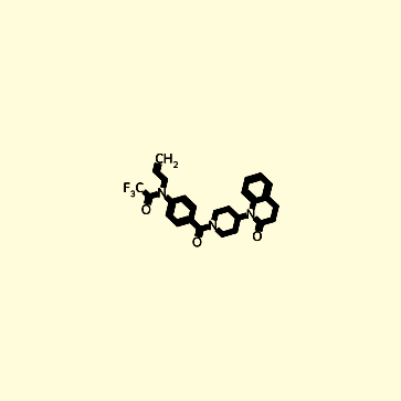 C=CCN(C(=O)C(F)(F)F)c1ccc(C(=O)N2CCC(N3C(=O)CCc4ccccc43)CC2)cc1